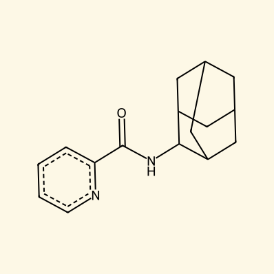 O=C(NC1C2CC3CC(C2)CC1C3)c1ccccn1